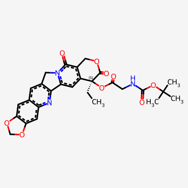 CC[C@@]1(OC(=O)CNC(=O)OC(C)(C)C)C(=O)OCc2c1cc1n(c2=O)Cc2cc3cc4c(cc3nc2-1)OCO4